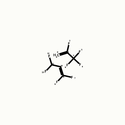 C=C(F)C(F)(F)F.FC(F)=CC(F)F